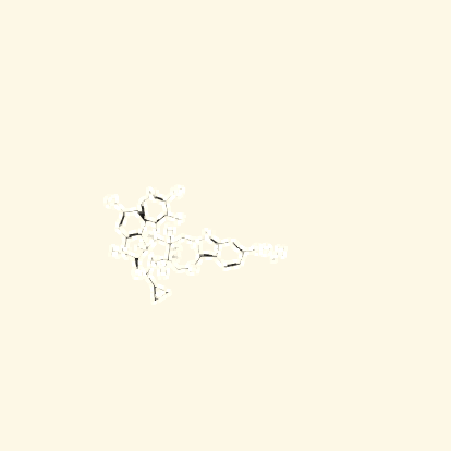 O=C(O)c1ccc2c3n(nc2c1)C[C@@H]1[C@H](CO3)N(CC2CC2)[C@@]2(C(=O)Nc3cc(Cl)ccc32)[C@H]1c1ccnc(Cl)c1F